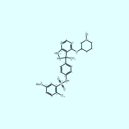 CCN1CCCC(Oc2ncnc3c2C(C)(c2ccc(NS(=O)(=O)c4cc(OC)ccc4Cl)cc2)NN3)C1